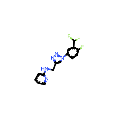 Fc1ccc(-n2cc(CNc3ccccn3)nn2)cc1C(F)F